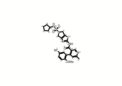 COc1ccc(C#N)cc1-c1cc(C)ncc1C(=O)Nc1nc2c(s1)CN(S(=O)(=O)NC1CCCC1)C2